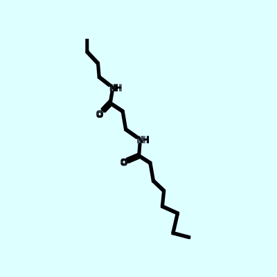 CCCCCCCC(=O)NCCC(=O)NCCCC